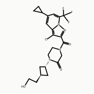 O=C(c1nn2c(C(F)(F)F)cc(C3CC3)cc2c1Cl)N1CCN([C@H]2C[C@H](CCO)C2)C(=O)C1